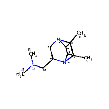 CC1C(C)N2CCN1CC2CN(C)C